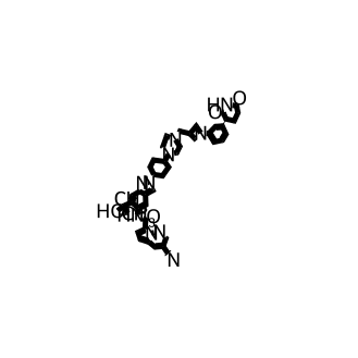 CC(C)(O)c1cc2nn(C3CCC(N4CCN(CC5CN(c6cccc([C@H]7CCC(=O)NC7=O)c6)C5)CC4)CC3)cc2cc1NC(=O)c1ccc2cc(C#N)cnn12